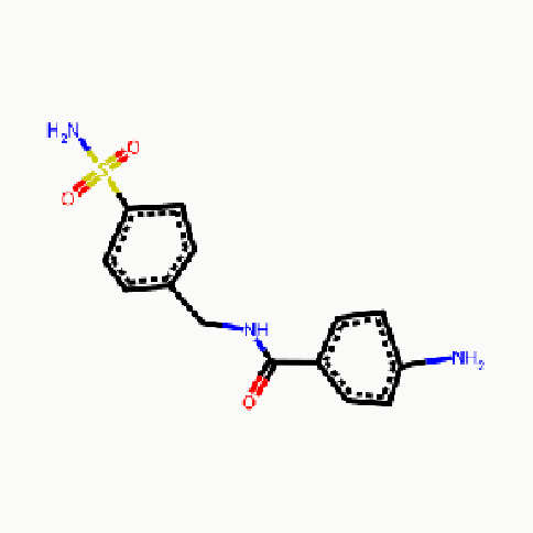 Nc1ccc(C(=O)NCc2ccc(S(N)(=O)=O)cc2)cc1